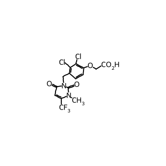 Cn1c(C(F)(F)F)cc(=O)n(Cc2ccc(OCC(=O)O)c(Cl)c2Cl)c1=O